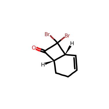 O=C1[C@H]2CCC=C[C@H]2C1(Br)Br